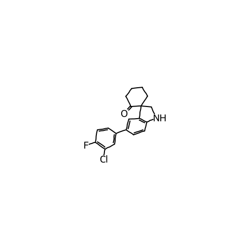 O=C1CCCCC12CNc1ccc(-c3ccc(F)c(Cl)c3)cc12